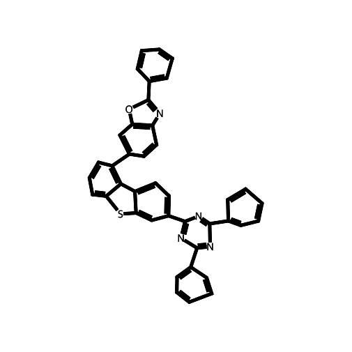 c1ccc(-c2nc(-c3ccccc3)nc(-c3ccc4c(c3)sc3cccc(-c5ccc6nc(-c7ccccc7)oc6c5)c34)n2)cc1